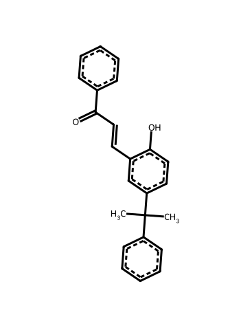 CC(C)(c1ccccc1)c1ccc(O)c(/C=C/C(=O)c2ccccc2)c1